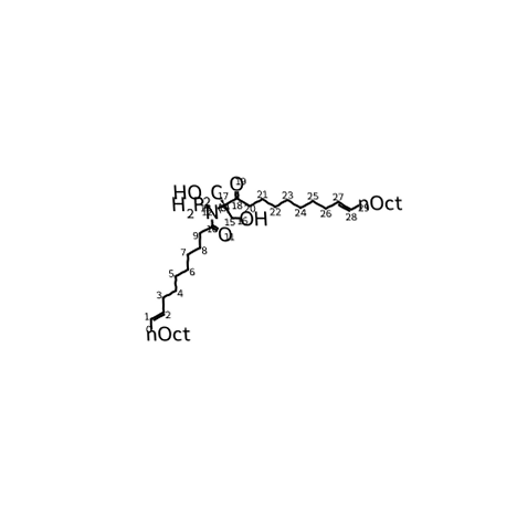 CCCCCCCCC=CCCCCCCCC(=O)N(P)[C@](CO)(C(=O)O)C(=O)CCCCCCCC=CCCCCCCCC